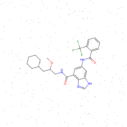 COC(CNC(=O)c1cc(NC(=O)c2ccccc2C(F)(F)F)cc2[nH]cnc12)CC1CCCCC1